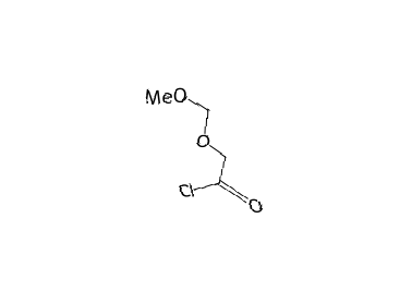 COCOCC(=O)Cl